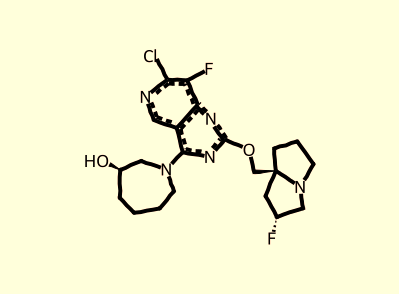 O[C@@H]1CCCCN(c2nc(OC[C@@]34CCCN3C[C@H](F)C4)nc3c(F)c(Cl)ncc23)C1